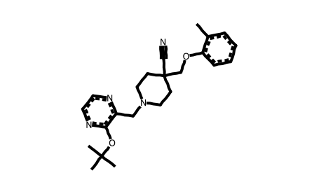 Cc1ccccc1OCC1(C#N)CCN(Cc2nccnc2OC(C)(C)C)CC1